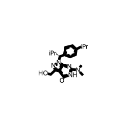 CC(C)c1ccc([C@@H](C(C)C)n2nc(CO)c3c(=O)[nH]c(N(C)C)nc32)cc1